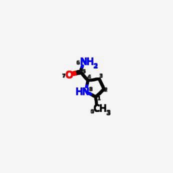 CC1CCC(C(N)=O)N1